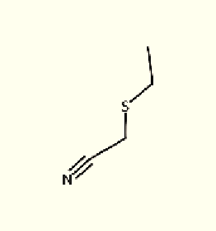 CCSCC#N